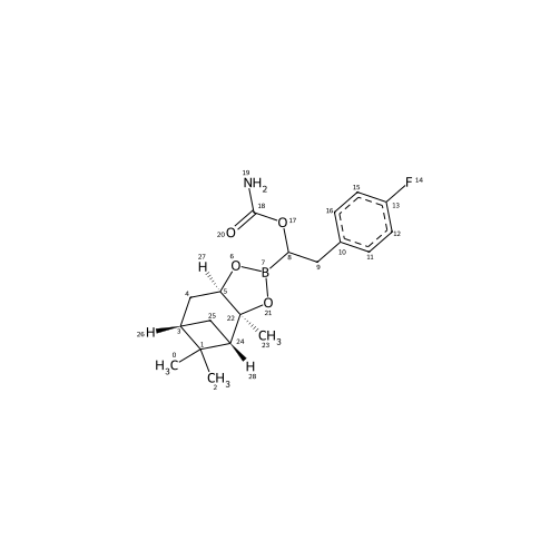 CC1(C)[C@@H]2C[C@H]3OB(C(Cc4ccc(F)cc4)OC(N)=O)O[C@@]3(C)[C@H]1C2